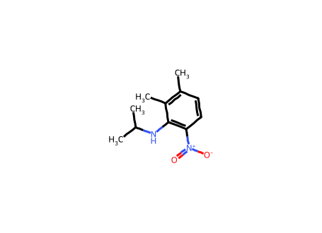 Cc1ccc([N+](=O)[O-])c(NC(C)C)c1C